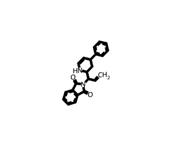 C=CC(C1CC(c2ccccc2)C=CN1)N1C(=O)c2ccccc2C1=O